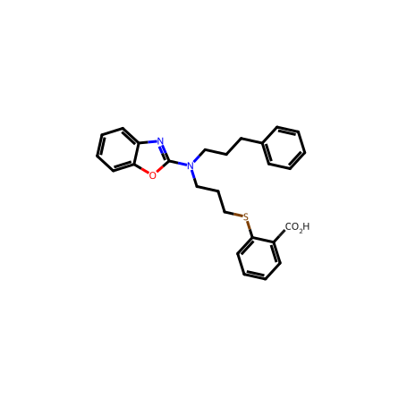 O=C(O)c1ccccc1SCCCN(CCCc1ccccc1)c1nc2ccccc2o1